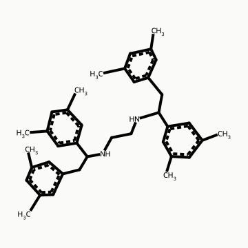 Cc1cc(C)cc(CC(NCCNC(Cc2cc(C)cc(C)c2)c2cc(C)cc(C)c2)c2cc(C)cc(C)c2)c1